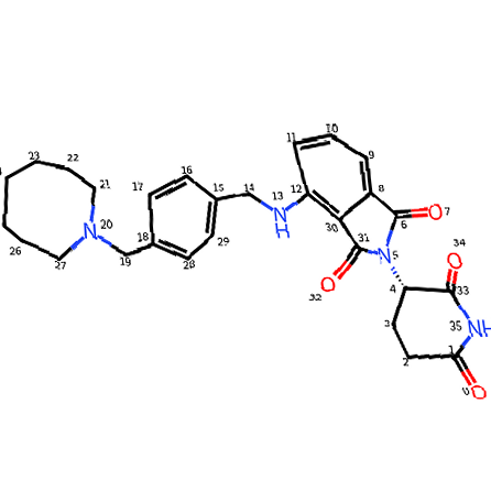 O=C1CC[C@H](N2C(=O)c3cccc(NCc4ccc(CN5CCCCCCC5)cc4)c3C2=O)C(=O)N1